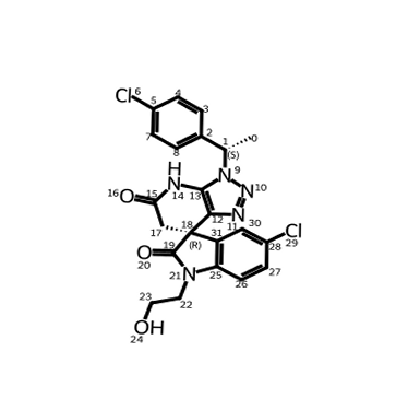 C[C@@H](c1ccc(Cl)cc1)n1nnc2c1NC(=O)C[C@]21C(=O)N(CCO)c2ccc(Cl)cc21